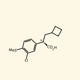 CSc1ccc([C@@H](CC2CCC2)C(=O)O)cc1Cl